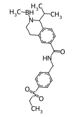 CBN1CCc2cc(C(=O)NCc3ccc(S(=O)(=O)CC)cc3)ccc2C1C(C)C